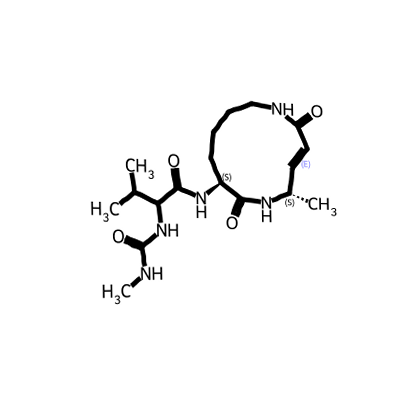 CNC(=O)NC(C(=O)N[C@H]1CCCCNC(=O)/C=C/[C@H](C)NC1=O)C(C)C